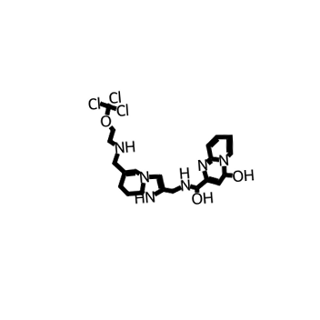 OC(NCC1=CN2C=C(CNCCOC(Cl)(Cl)Cl)CCC2N1)C1=CC(O)N2C=CC=CC2=N1